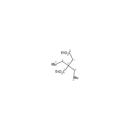 CCOC(=O)CC(CC(C)(C)C)(CC(C)(C)C)C(=O)OCC